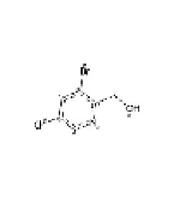 OCc1ncc(Cl)cc1Br